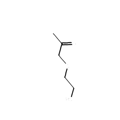 CC(=O)CSCCS